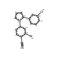 N#Cc1ccc(-n2cccc2-c2cccc(Cl)c2)cc1Br